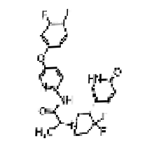 C[C@@H](C(=O)Nc1ccc(Oc2ccc(F)c(F)c2)cn1)N1CCC(F)(F)[C@@H](c2ccc(=O)[nH]c2)C1